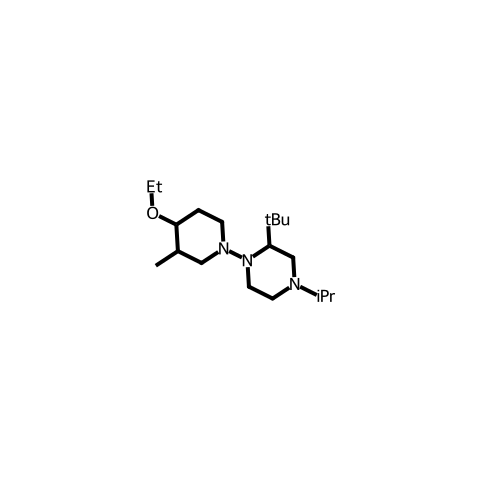 CCOC1CCN(N2CCN(C(C)C)CC2C(C)(C)C)CC1C